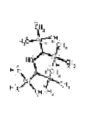 C[Si](C)(C)[CH]([BiH][CH]([Si](C)(C)C)[Si](C)(C)C)[Si](C)(C)C